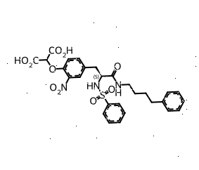 O=C(O)C(Oc1ccc(C[C@H](NS(=O)(=O)c2ccccc2)C(=O)NCCCCc2ccccc2)cc1[N+](=O)[O-])C(=O)O